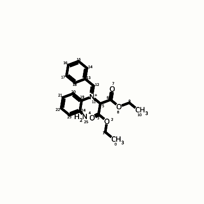 CCOC(=O)C(C(=O)OCC)[N+](=Cc1ccccc1)c1ccccc1N